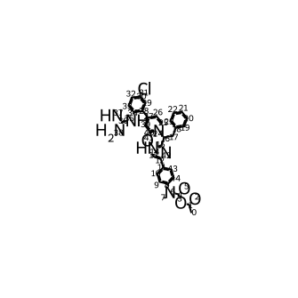 CC(=O)OC(=O)N(C)c1ccc(-c2c[nH]c(C(Cc3ccccc3)n3ccc(-c4cc(Cl)ccc4NC(=N)N)cc3=O)n2)cc1